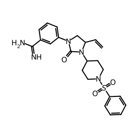 C=CC1CN(c2cccc(C(=N)N)c2)C(=O)N1C1CCN(S(=O)(=O)c2ccccc2)CC1